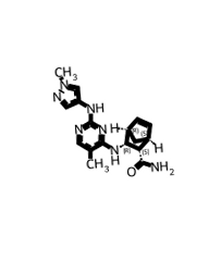 Cc1cnc(Nc2cnn(C)c2)nc1N[C@H]1[C@@H](C(N)=O)[C@@H]2C=C[C@H]1C2